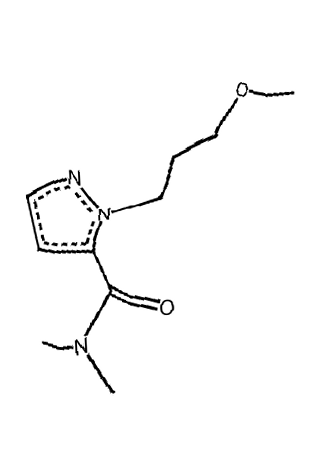 COCCCn1nccc1C(=O)N(C)C